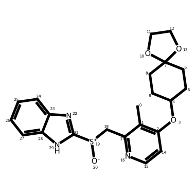 Cc1c(OC2CCC3(CC2)OCCO3)ccnc1C[S+]([O-])c1nc2ccccc2[nH]1